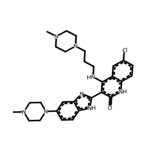 CN1CCN(CCCNc2c(-c3nc4cc(N5CCN(C)CC5)ccc4[nH]3)c(=O)[nH]c3ccc(Cl)cc23)CC1